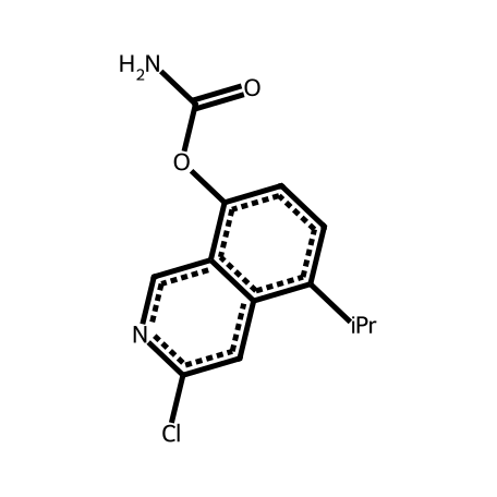 CC(C)c1ccc(OC(N)=O)c2cnc(Cl)cc12